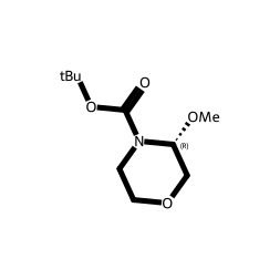 CO[C@@H]1COCCN1C(=O)OC(C)(C)C